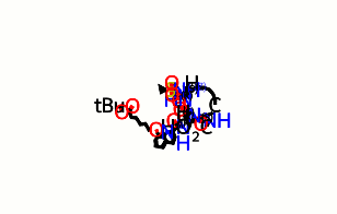 CC(C)(C)OC(=O)CCCCCOc1cccc2ccc(C(=O)N[C@@H]3C[C@H]4C(=O)N[C@]5(C(=O)NS(=O)(=O)C6CC6)C[C@H]5/C=C\CCCCC[C@H](NC(=O)O)C(=O)N4C3)nc12